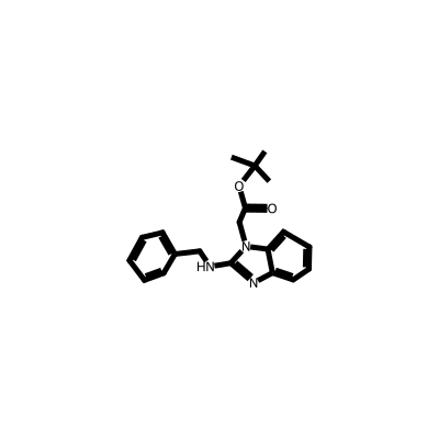 CC(C)(C)OC(=O)Cn1c(NCc2ccccc2)nc2ccccc21